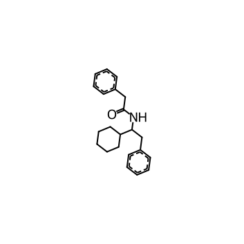 O=C(Cc1ccccc1)NC(Cc1ccccc1)C1CCCCC1